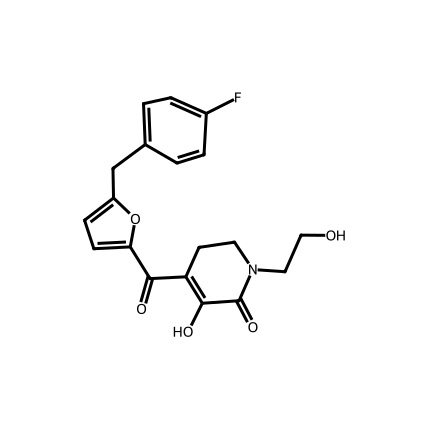 O=C(C1=C(O)C(=O)N(CCO)CC1)c1ccc(Cc2ccc(F)cc2)o1